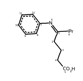 CC(C)C(CCCC(=O)O)=Nc1ccccc1